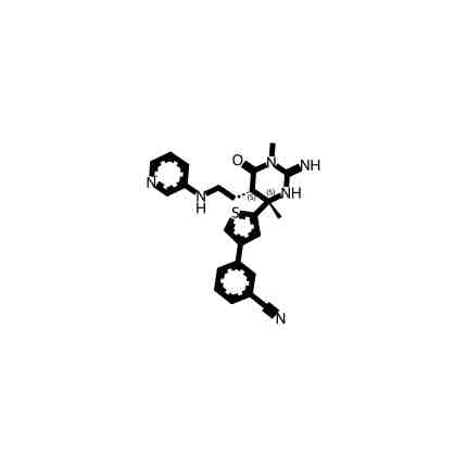 CN1C(=N)N[C@](C)(c2cc(-c3cccc(C#N)c3)cs2)[C@H](CCNc2cccnc2)C1=O